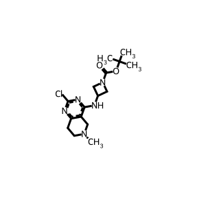 CN1CCc2nc(Cl)nc(NC3CN(C(=O)OC(C)(C)C)C3)c2C1